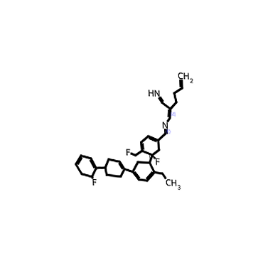 C=CCC/C(C=N)=C/N=C/C1=CC=C(CF)[C@@](F)(C2CC(C3=CCC(C4=CC=CCC4F)CC3)=CC=C2CC)C1